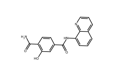 NC(=O)c1ccc(C(=O)Nc2cccc3cccnc23)cc1O